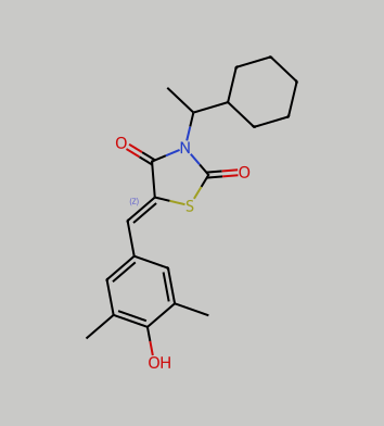 Cc1cc(/C=C2\SC(=O)N(C(C)C3CCCCC3)C2=O)cc(C)c1O